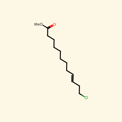 COC(=O)CCCCCCCC=CCCCl